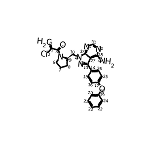 C=C(Cl)C(=O)N1CCC[C@@H]1Cn1nc(-c2ccc(Oc3ccccc3)cc2)c2c(N)ncnc21